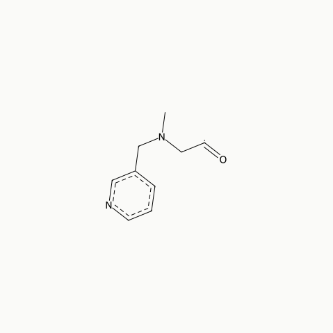 CN(C[C]=O)Cc1cccnc1